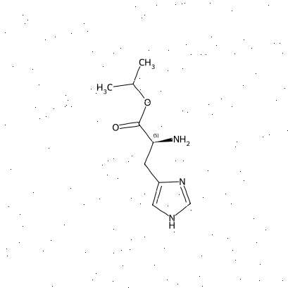 CC(C)OC(=O)[C@@H](N)Cc1c[nH]cn1